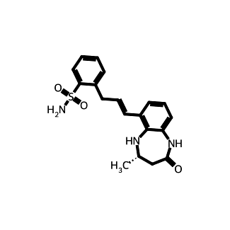 C[C@H]1CC(=O)Nc2cccc(/C=C/Cc3ccccc3S(N)(=O)=O)c2N1